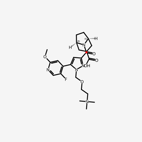 COc1cc(-c2cc(C(=O)N3[C@@H]4CC[C@H]3CC(C(=O)O)C4)nn2COCC[Si](C)(C)C)c(F)cn1